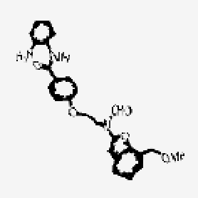 COCc1cccc2cc(N(C=O)CCOc3ccc(C(=O)Nc4ccccc4N)cc3)oc12